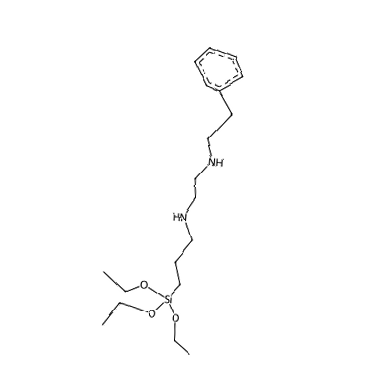 CCO[Si](CCCNCCNCCc1ccccc1)(OCC)OCC